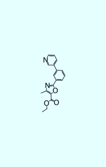 CCOC(=O)c1oc(-c2cccc(-c3cccnc3)c2)nc1C